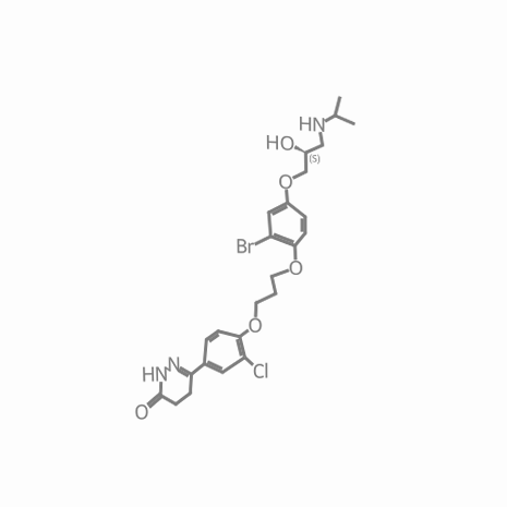 CC(C)NC[C@H](O)COc1ccc(OCCCOc2ccc(C3=NNC(=O)CC3)cc2Cl)c(Br)c1